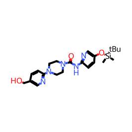 CC(C)(C)[Si](C)(C)Oc1ccc(NC(=O)N2CCN(c3ccc(CO)cn3)CC2)nc1